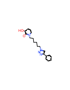 O=c1c(O)cccn1CCCCCCn1cc(-c2ccccc2)nn1